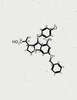 CC(C)c1cc(OCc2ccccc2)cc2c1c(Sc1ccc(Cl)cc1)c1n2CCC1C(C)C(=O)O